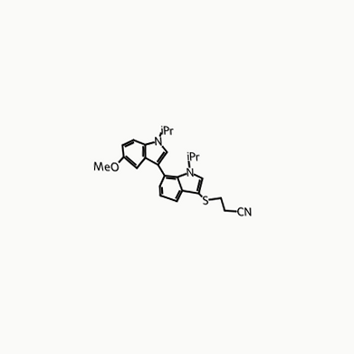 COc1ccc2c(c1)c(-c1cccc3c(SCCC#N)cn(C(C)C)c13)cn2C(C)C